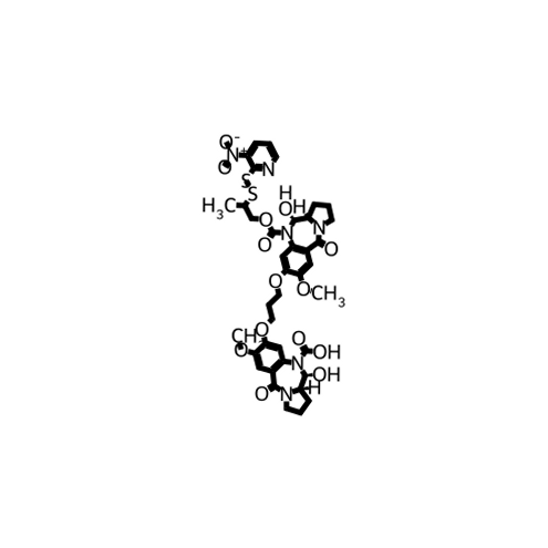 COc1cc2c(cc1OCCCOc1cc3c(cc1OC)C(=O)N1CCC[C@H]1[C@H](O)N3C(=O)OCC(C)SSc1ncccc1[N+](=O)[O-])N(C(=O)O)[C@@H](O)[C@@H]1CCCN1C2=O